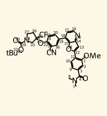 COc1cc(C(=O)N(C)C)ccc1-c1cc2nccc(-c3ccc(OC4(C(F)(F)F)CCN(C(=O)OC(C)(C)C)C4)c(C#N)c3)c2o1